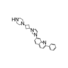 C1=CN(C2CC(N3CCNCC3)C2)CN1c1ccc2ccc(-c3ccccc3)nc2c1